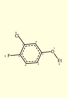 CCOc1[c]cc(F)c(Cl)c1